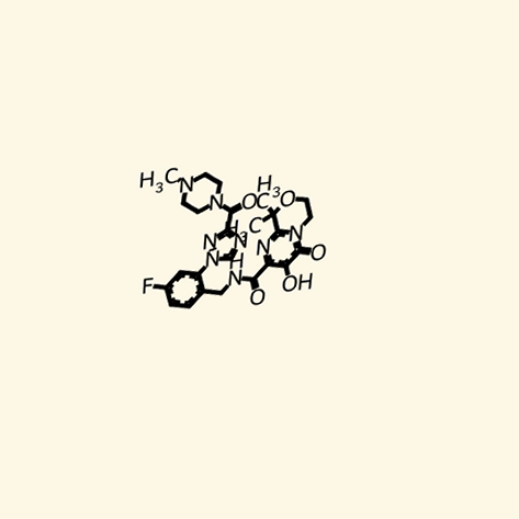 CN1CCN(C(=O)c2ncn(-c3cc(F)ccc3CNC(=O)c3nc4n(c(=O)c3O)CCOC4(C)C)n2)CC1